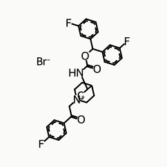 O=C(NC1C[N+]2(CC(=O)c3ccc(F)cc3)CCC1CC2)OC(c1cccc(F)c1)c1cccc(F)c1.[Br-]